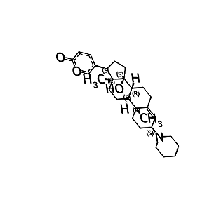 C[C@]12CC[C@H](N3CCCCC3)C=C1CC[C@@H]1[C@@H]2CC[C@]2(C)[C@@H](c3ccc(=O)oc3)CC[C@]12O